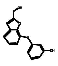 OCc1cc2cccc(Oc3cccc(O)c3)c2o1